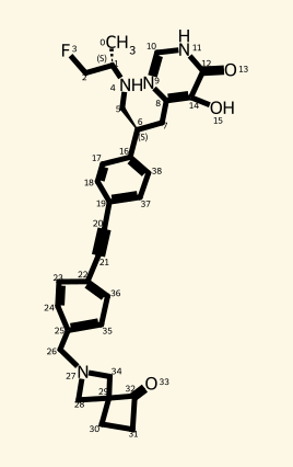 C[C@@H](CF)NC[C@@H](Cc1nc[nH]c(=O)c1O)c1ccc(C#Cc2ccc(CN3CC4(CCC4=O)C3)cc2)cc1